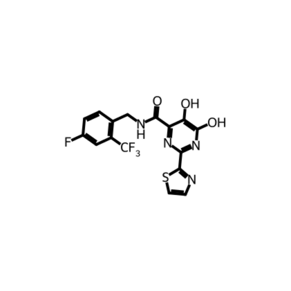 O=C(NCc1ccc(F)cc1C(F)(F)F)c1nc(-c2nccs2)nc(O)c1O